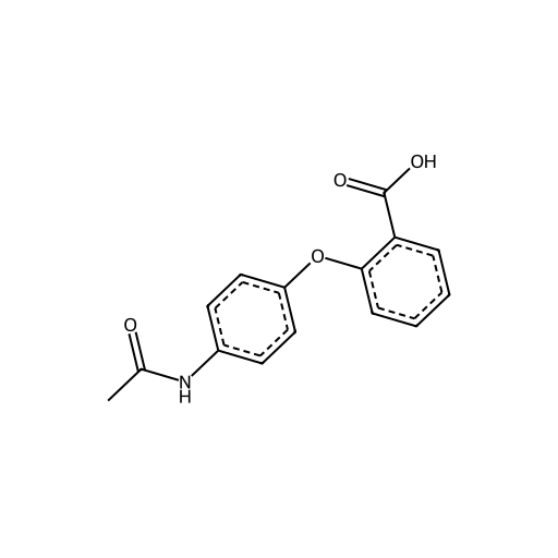 CC(=O)Nc1ccc(Oc2ccccc2C(=O)O)cc1